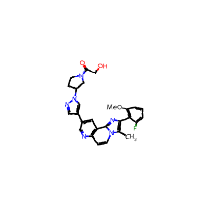 COc1cccc(F)c1-c1nc2c3cc(-c4cnn(C5CCN(C(=O)CO)C5)c4)cnc3ccn2c1C